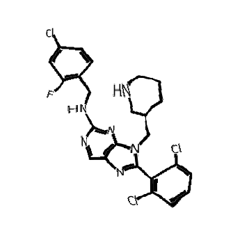 Fc1cc(Cl)ccc1CNc1ncc2nc(-c3c(Cl)cccc3Cl)n(C[C@@H]3CCCNC3)c2n1